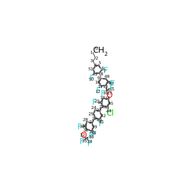 C=CCCc1cc(F)c(-c2cc(F)c(C(F)(F)Oc3cc(F)c(-c4ccc(-c5cc(F)c(OC(F)(F)F)c(F)c5)c(F)c4)c(Cl)c3)c(F)c2)c(F)c1